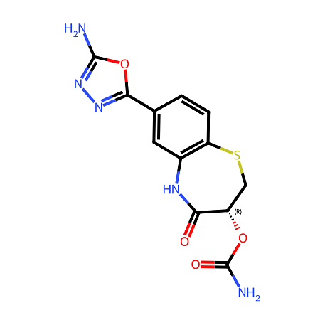 NC(=O)O[C@H]1CSc2ccc(-c3nnc(N)o3)cc2NC1=O